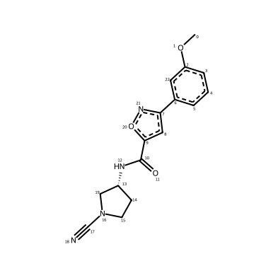 COc1cccc(-c2cc(C(=O)N[C@@H]3CCN(C#N)C3)on2)c1